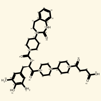 Bc1cc(C[C@@H](OC(=O)N2CCC(N3CCc4ccccc4NC3=O)CC2)C(=O)N2CCN(C3CCN(C(=O)CCC(=O)O)CC3)CC2)cc(C)c1O